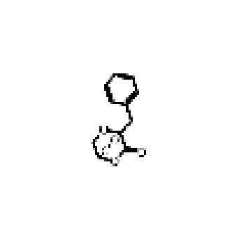 O=C1OC2COC1(Cc1ccccc1)OC2